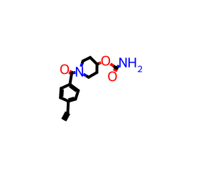 C#Cc1ccc(C(=O)N2CCC(OC(N)=O)CC2)cc1